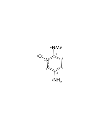 CNc1ccc(N)c[n+]1[O-]